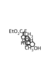 CCOC(=O)C(F)=C1CC[C@H]2[C@@H]3CC(C)=C4CC(O)CC[C@]4(C)[C@H]3CC[C@]12C